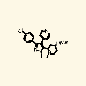 COC1CCN(C)C(c2[nH]nc(-c3ccc(Cl)cc3)c2-c2ccncc2)C1